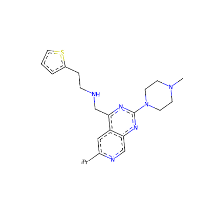 CC(C)c1cc2c(CNCCc3cccs3)nc(N3CCN(C)CC3)nc2cn1